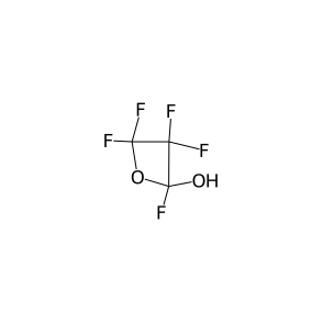 OC1(F)OC(F)(F)C1(F)F